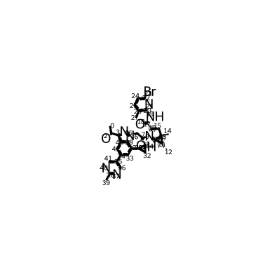 CC(=O)c1nn(CC(=O)N2[C@H]3[C@@H](C)[C@@]3(C)C[C@H]2C(=O)Nc2nc(Br)ccc2C)c2c(C3CC3)cc(-c3cnc(C)nc3)cc12